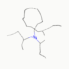 CCC(C)N(C(C)CC)C1(C(C)CC)CCCCC1